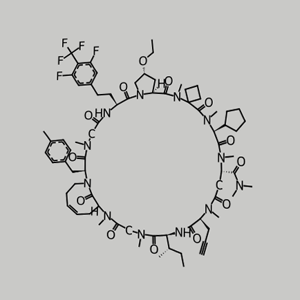 C#CC[C@H]1C(=O)N[C@@H]([C@@H](C)CC)C(=O)N(C)CC(=O)N(C)[C@H]2C/C=C\CCN(C2=O)[C@@H](Cc2ccc(C)cc2)C(=O)N(C)CC(=O)N[C@@H](CCc2cc(F)c(C(F)(F)F)c(F)c2)C(=O)N2C[C@H](OCC)C[C@H]2C(=O)N(C)C2(CCC2)C(=O)N(C)[C@@H](C2CCCC2)C(=O)N(C)[C@H](C(=O)N(C)C)CC(=O)N1C